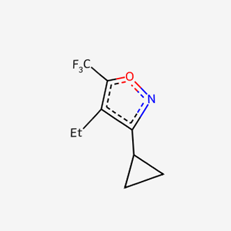 CCc1c(C2CC2)noc1C(F)(F)F